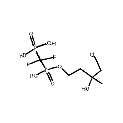 CC(O)(CCl)CCOP(=O)(O)C(F)(F)P(=O)(O)O